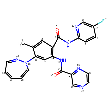 Cc1cc(C(=O)Nc2ccc(F)cn2)c(NC(=O)c2cnccn2)cc1N1C=CC=CC=N1